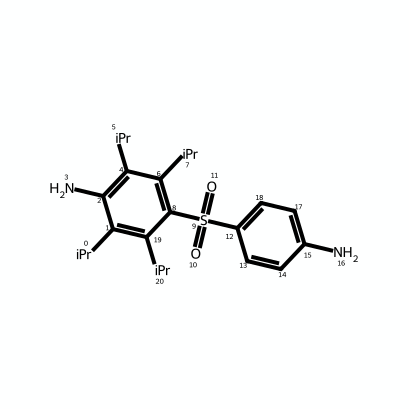 CC(C)c1c(N)c(C(C)C)c(C(C)C)c(S(=O)(=O)c2ccc(N)cc2)c1C(C)C